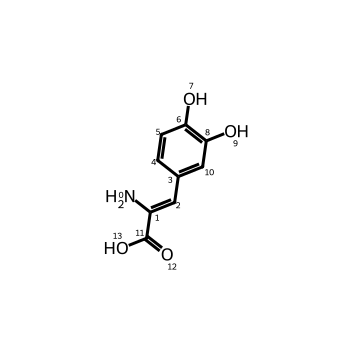 NC(=Cc1ccc(O)c(O)c1)C(=O)O